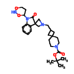 CC(C)(C)OC(=O)N1CCC2(CC1)CC(CN1CC3(C1)C(=O)N(C1CCONO1)c1ccccc13)C2